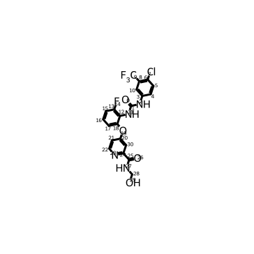 O=C(Nc1ccc(Cl)c(C(F)(F)F)c1)Nc1c(F)cccc1Oc1ccnc(C(=O)NCO)c1